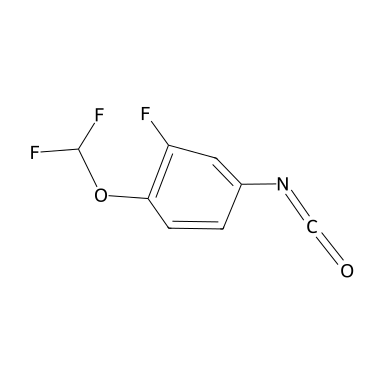 O=C=Nc1ccc(OC(F)F)c(F)c1